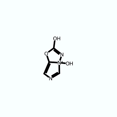 OC1=N[N+]2(O)C=NC=C2O1